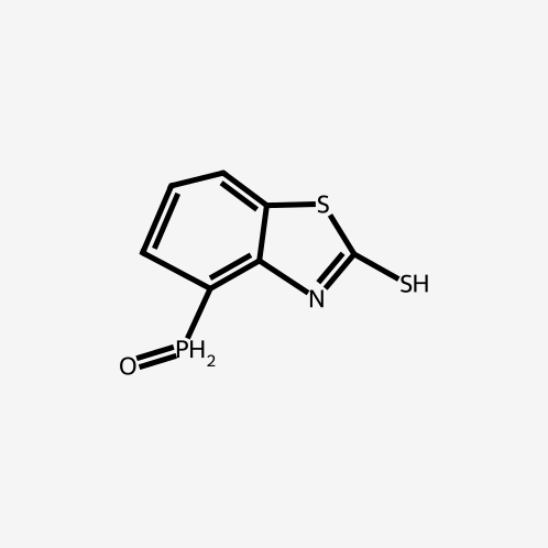 O=[PH2]c1cccc2sc(S)nc12